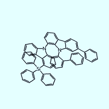 c1ccc(-c2ccc3c4cccc(-n5c6ccccc6c6c([Si](c7ccccc7)(c7ccccc7)c7ccccc7)cccc65)c4n(-c4ccccc4-c4ccccc4)c3c2)cc1